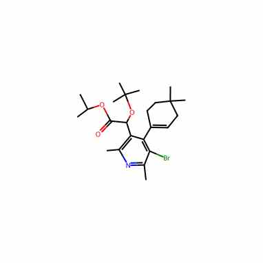 Cc1nc(C)c(C(OC(C)(C)C)C(=O)OC(C)C)c(C2=CCC(C)(C)CC2)c1Br